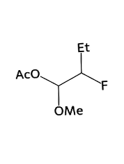 CCC(F)C(OC)OC(C)=O